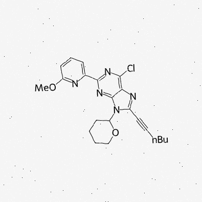 CCCCC#Cc1nc2c(Cl)nc(-c3cccc(OC)n3)nc2n1C1CCCCO1